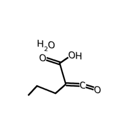 CCCC(=C=O)C(=O)O.O